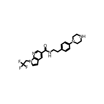 O=C(NCCc1ccc(N2CCNCC2)cc1)c1cnc2c(ccn2CC(F)(F)F)c1